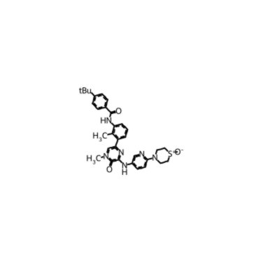 Cc1c(NC(=O)c2ccc(C(C)(C)C)cc2)cccc1-c1cn(C)c(=O)c(Nc2ccc(N3CC[S+]([O-])CC3)nc2)n1